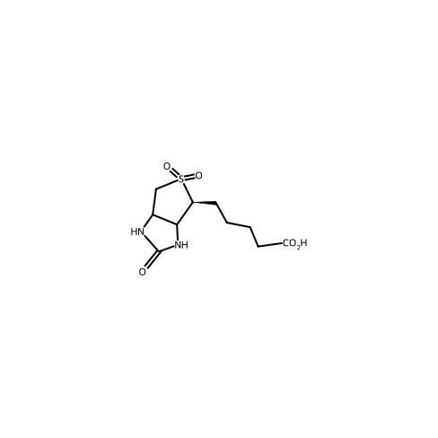 O=C(O)CCCC[C@H]1C2NC(=O)NC2CS1(=O)=O